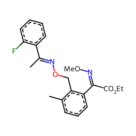 CCOC(=O)/C(=N/OC)c1cccc(C)c1CO/N=C(\C)c1ccccc1F